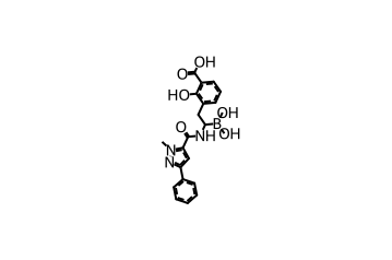 Cn1nc(-c2ccccc2)cc1C(=O)NC(Cc1cccc(C(=O)O)c1O)B(O)O